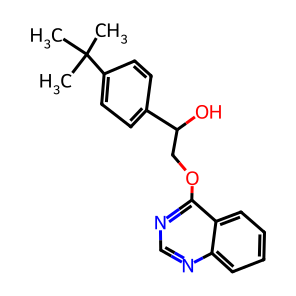 CC(C)(C)c1ccc(C(O)COc2ncnc3ccccc23)cc1